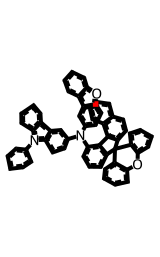 c1ccc(-n2c3ccccc3c3cc(N(c4ccc5oc6ccccc6c5c4)c4cccc5c4-c4c(ccc6ccccc46)C54c5ccccc5Oc5ccccc54)ccc32)cc1